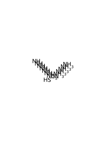 N.N.N.N.N.N.N.N.N.N.N.N.N#CS